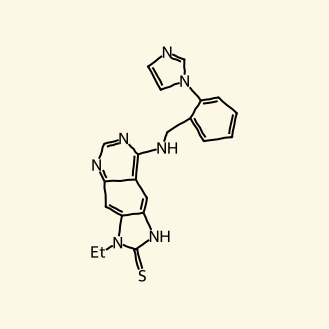 CCn1c(=S)[nH]c2cc3c(NCc4ccccc4-n4ccnc4)ncnc3cc21